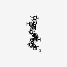 Cc1ccccc1CC(=O)Nc1nnc([C@H]2CCC[C@H](c3nnc(NC(=O)Cc4ccccc4OC(F)(F)F)s3)C2)s1